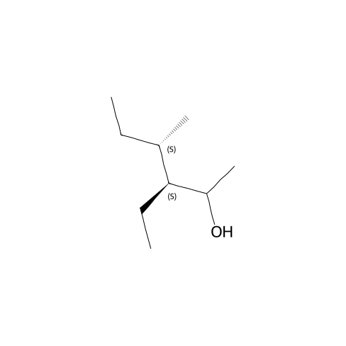 CC[C@H](C(C)O)[C@@H](C)CC